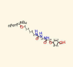 CCCCCC(CCCC)OCCCCCCNC(=O)NCNC(=O)COc1ccc(O)cc1